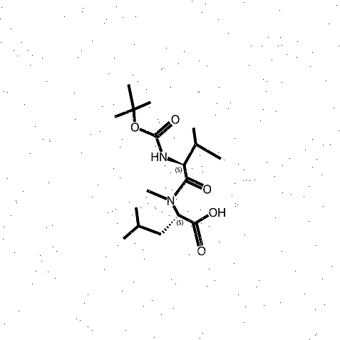 CC(C)C[C@@H](C(=O)O)N(C)C(=O)[C@@H](NC(=O)OC(C)(C)C)C(C)C